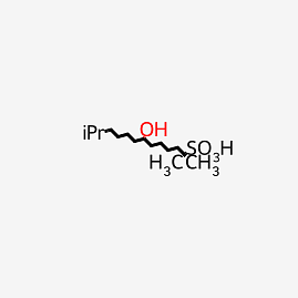 CC(C)CCCCC(O)CCCCC(C)(C)S(=O)(=O)O